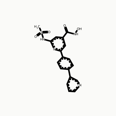 CS(=O)(=O)Nc1cc(C(=O)NO)cc(-c2ccc(-c3cccnc3)cc2)n1